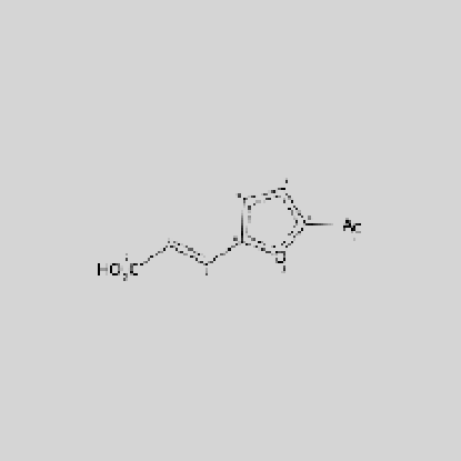 CC(=O)c1ccc(C=CC(=O)O)o1